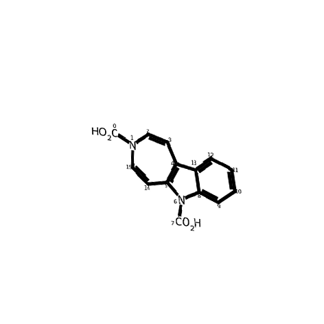 O=C(O)N1C=Cc2c(n(C(=O)O)c3ccccc23)C=C1